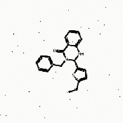 CCc1ccc(C2Nc3ccccc3C(=O)N2Cc2ccccc2)s1